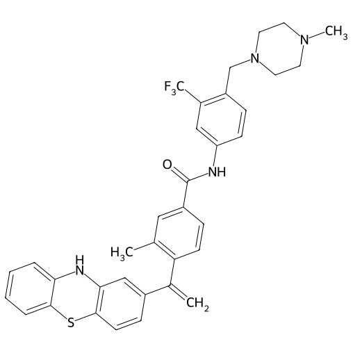 C=C(c1ccc2c(c1)Nc1ccccc1S2)c1ccc(C(=O)Nc2ccc(CN3CCN(C)CC3)c(C(F)(F)F)c2)cc1C